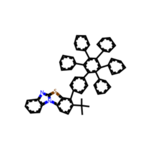 CC(C)(C)c1ccc2c(sc3nc4ccccc4n32)c1-c1ccc(-c2c(-c3ccccc3)c(-c3ccccc3)c(-c3ccccc3)c(-c3ccccc3)c2-c2ccccc2)cc1